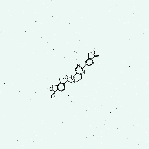 C=C1OCc2cc(-c3ncc4c(n3)CCN(CC(O)c3ccc5c(c3C)COC5=O)C4)ccc21